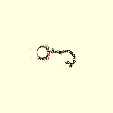 CO[C@H]1C[C@@H]2CC[C@@H](C)[C@@](O)(O2)C(=O)C(=O)N2CCCC[C@H]2C(=O)O[C@H]([C@H](N)C[C@@H]2CC[C@@H](OC(=O)N3CCc4nc(N5CCN(c6ncc(C(=O)N7CCN(c8ncc(C(=O)N9CCc%10cc(Cn%11nc(-c%12cnc%13[nH]ccc%13c%12)c%12c(N)ncnc%12%11)ccc%10C9)cn8)CC7)cn6)CC5)ncc4C3)[C@H](OC)C2)CC(=O)[C@H](C)/C=C(\C)[C@@H](O)[C@@H](O)C(=O)[C@H](C)C[C@H](C)/C=C/C=C/C=C/1C